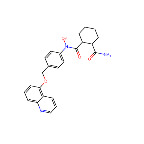 NC(=O)C1CCCCC1C(=O)N(O)c1ccc(COc2cccc3ncccc23)cc1